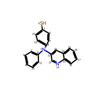 Sc1ccc(N(c2ccccc2)c2cnc3ccccc3c2)cc1